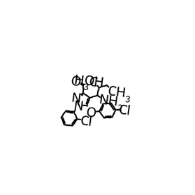 CCC(C)C(N)c1c(C(=O)O)nn(-c2ccccc2Cl)c1Oc1ccc(Cl)cc1